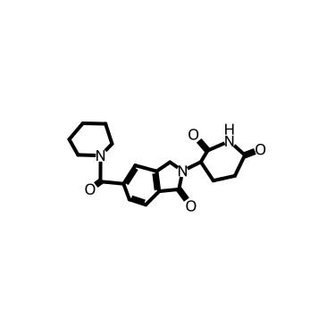 O=C1CCC(N2Cc3cc(C(=O)N4CCCCC4)ccc3C2=O)C(=O)N1